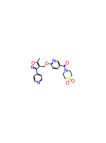 Cc1onc(-c2ccncc2)c1COc1ccc(C(=O)N2CCS(=O)(=O)CC2)cn1